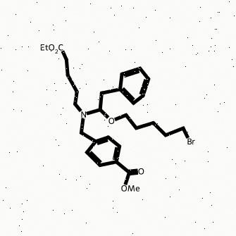 CCOC(=O)CCCCN(Cc1ccc(C(=O)OC)cc1)C(Cc1ccccc1)OCCCCCBr